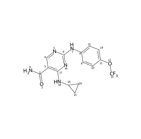 NC(=O)c1cnc(Nc2ccc(OC(F)(F)F)cc2)nc1NC1CC1